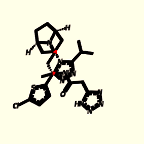 Cc1nnc(C(C)C)n1[C@@H]1C[C@H]2CC[C@@H](C1)N2CC[C@H](NC(=O)Cc1nnn[nH]1)c1ccc(Cl)s1